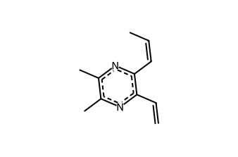 C=Cc1nc(C)c(C)nc1/C=C\C